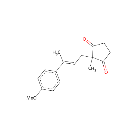 COc1ccc(/C(C)=C/CC2(C)C(=O)CCC2=O)cc1